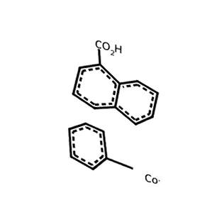 Cc1ccccc1.O=C(O)c1cccc2ccccc12.[Co]